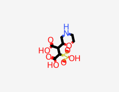 O=C(O)C(C1CNCCO1)C(C(=O)O)S(=O)(=O)O